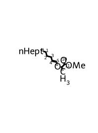 CCCCCCCCCCC=COC(C)C(=O)OC